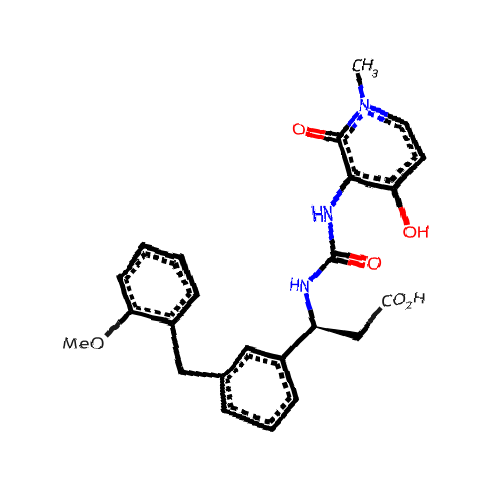 COc1ccccc1Cc1cccc([C@H](CC(=O)O)NC(=O)Nc2c(O)ccn(C)c2=O)c1